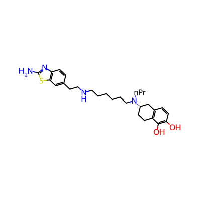 CCCN(CCCCCCNCCc1ccc2nc(N)sc2c1)[C@H]1CCc2c(ccc(O)c2O)C1